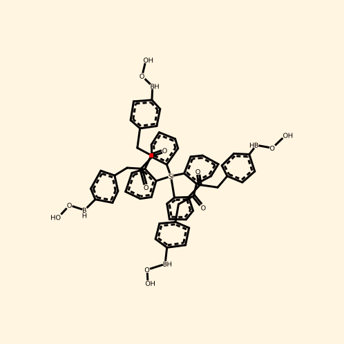 O=C(Cc1ccc(BOO)cc1)c1ccccc1[Si](c1ccccc1C(=O)Cc1ccc(BOO)cc1)(c1ccccc1C(=O)Cc1ccc(BOO)cc1)c1ccccc1C(=O)Cc1ccc(BOO)cc1